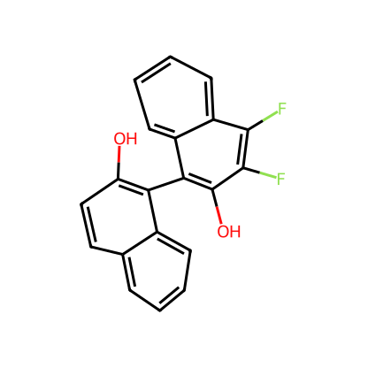 Oc1ccc2ccccc2c1-c1c(O)c(F)c(F)c2ccccc12